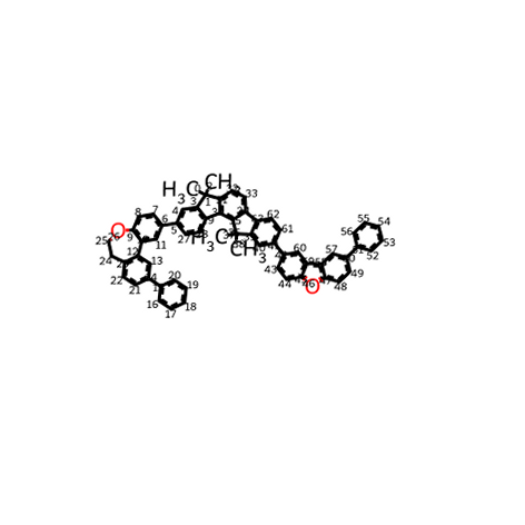 CC1(C)c2cc(-c3ccc4c(c3)-c3cc(-c5ccccc5)ccc3CCO4)ccc2-c2c1ccc1c2C(C)(C)c2cc(-c3ccc4oc5ccc(-c6ccccc6)cc5c4c3)ccc2-1